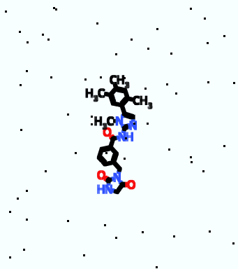 Cc1cc(C)c(-c2cnc(NC(=O)c3cccc(CN4C(=O)CNC4=O)c3)n2C)cc1C